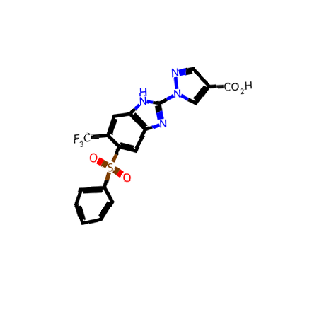 O=C(O)c1cnn(-c2nc3cc(S(=O)(=O)c4ccccc4)c(C(F)(F)F)cc3[nH]2)c1